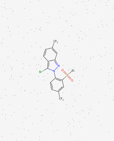 CCS(=O)(=O)c1cc(C(F)(F)F)ccc1-n1nc2cc(C(F)(F)F)ccc2c1Br